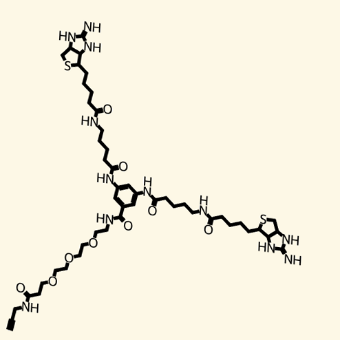 C#CCNC(=O)CCOCCOCCOCCNC(=O)c1cc(NC(=O)CCCCNC(=O)CCCCC2SCC3NC(=N)NC32)cc(NC(=O)CCCCNC(=O)CCCCC2SCC3NC(=N)NC32)c1